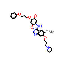 COc1cc2c(NC3=CC(=O)C(OCCCOc4ccccc4)=CC3=O)ncnc2cc1OCCCN1CCCC1